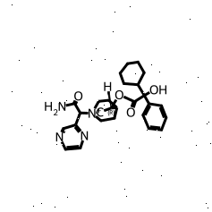 NC(=O)C(c1cnccn1)[N+]12CCC(CC1)[C@@H](OC(=O)C(O)(c1ccccc1)C1CCCCC1)C2